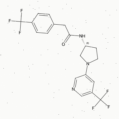 O=C(Cc1ccc(C(F)(F)F)cc1)N[C@@H]1CCN(c2cncc(C(F)(F)F)c2)C1